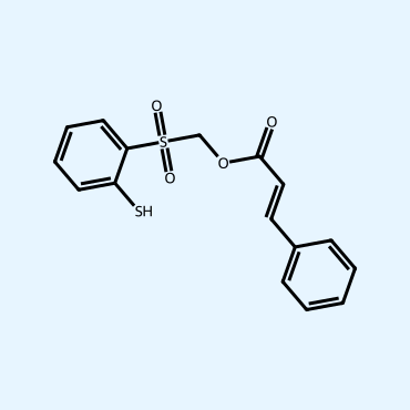 O=C(C=Cc1ccccc1)OCS(=O)(=O)c1ccccc1S